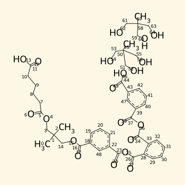 CC(C)(COC(=O)CCCCC(=O)O)COC(=O)c1cccc(C(=O)OC(=O)c2ccccc2C(=O)OC(=O)c2cccc(C(=O)O)c2)c1.CC(CO)(CO)CO.CC(CO)(CO)CO